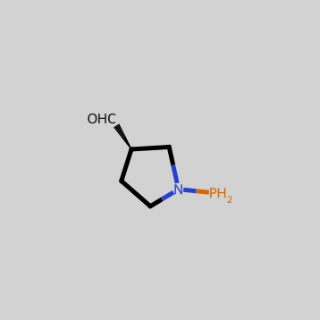 O=C[C@@H]1CCN(P)C1